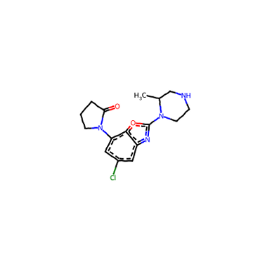 CC1CNCCN1c1nc2cc(Cl)cc(N3CCCC3=O)c2o1